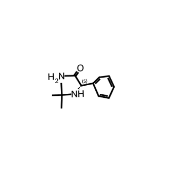 CC(C)(C)N[C@H](C(N)=O)c1ccccc1